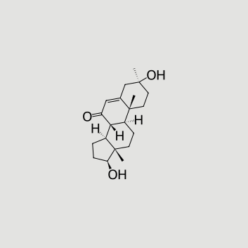 C[C@]1(O)CC[C@@]2(C)C(=CC(=O)[C@H]3[C@@H]4CC[C@H](O)[C@@]4(C)CC[C@@H]32)C1